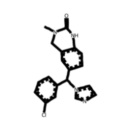 CN1Cc2cc(C(c3cccc(Cl)c3)n3ccnc3)ccc2NC1=O